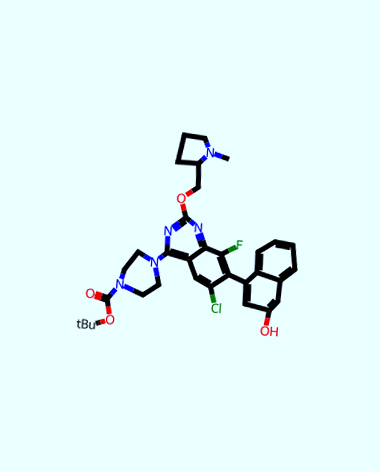 CN1CCCC1COc1nc(N2CCN(C(=O)OC(C)(C)C)CC2)c2cc(Cl)c(-c3cc(O)cc4ccccc34)c(F)c2n1